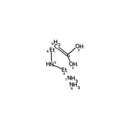 C=C(O)O.CCNCC.N.N